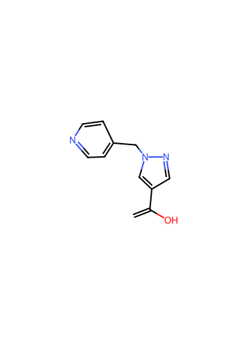 C=C(O)c1cnn(Cc2ccncc2)c1